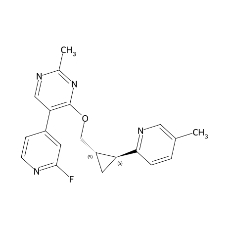 Cc1ccc([C@H]2C[C@@H]2COc2nc(C)ncc2-c2ccnc(F)c2)nc1